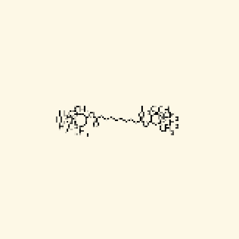 CN1C(C)(C)CCC(OC(=O)CCCCCCCCC(=O)OC2CC(C)(C)N(C)C(C)(C)C2)CC1(C)C